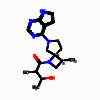 CC(O)C(C#N)C(=O)N1C[C@H](C)[C@@]12CCN(c1ncnc3[nH]ccc13)C2